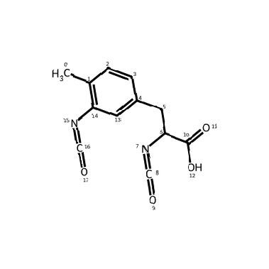 Cc1ccc(CC(N=C=O)C(=O)O)cc1N=C=O